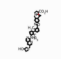 Cc1c(Nc2nccc3cc(CN4CCC(O)C4)cnc23)cccc1-c1cccc(-c2nc3cc(CN4CCC(C(=O)O)C4)c(C4CC4)cc3o2)c1C